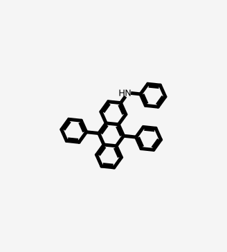 c1ccc(Nc2ccc3c(-c4ccccc4)c4ccccc4c(-c4ccccc4)c3c2)cc1